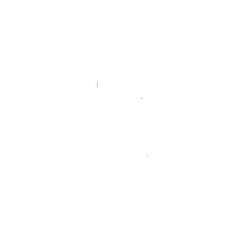 CCCCc1cccc(O)c1C(C)=O